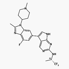 Cc1nc2c(F)cc(-c3c[nH]c4nc(N[C@@H](C)C(F)(F)F)ncc34)cc2n1C1CCN(C)CC1